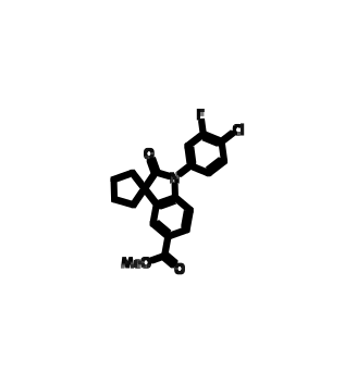 COC(=O)c1ccc2c(c1)C1(CCCC1)C(=O)N2c1ccc(Cl)c(F)c1